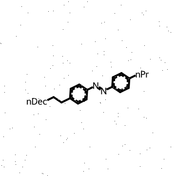 CCCCCCCCCCCCc1ccc(N=Nc2ccc(CCC)cc2)cc1